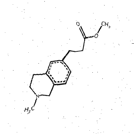 COC(=O)CCc1ccc2c(c1)CCN(C)C2